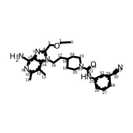 CCOCc1nc2c(N)nc(C)c(C)c2n1CCC1CCN(C(=O)Nc2cccc(C#N)c2)CC1